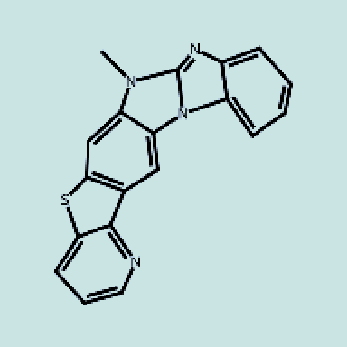 Cn1c2cc3sc4cccnc4c3cc2n2c3ccccc3nc12